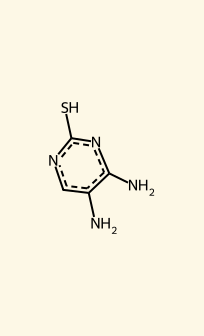 Nc1cnc(S)nc1N